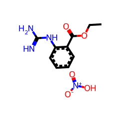 CCOC(=O)c1ccccc1NC(=N)N.O=[N+]([O-])O